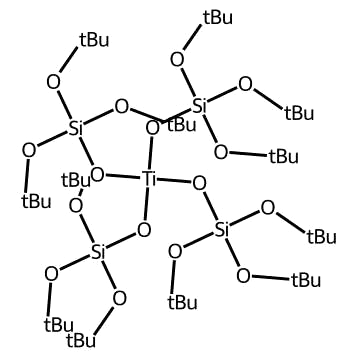 CC(C)(C)O[Si](OC(C)(C)C)(OC(C)(C)C)[O][Ti]([O][Si](OC(C)(C)C)(OC(C)(C)C)OC(C)(C)C)([O][Si](OC(C)(C)C)(OC(C)(C)C)OC(C)(C)C)[O][Si](OC(C)(C)C)(OC(C)(C)C)OC(C)(C)C